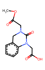 COC(=O)CN1Cc2ccccc2N(CC(=O)O)C1=O